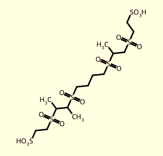 CC(CS(=O)(=O)CCS(=O)(=O)O)S(=O)(=O)CCCCS(=O)(=O)C(C)C(C)S(=O)(=O)CCS(=O)(=O)O